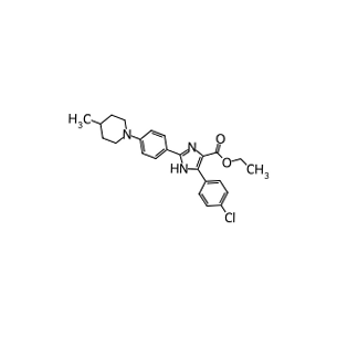 CCOC(=O)c1nc(-c2ccc(N3CCC(C)CC3)cc2)[nH]c1-c1ccc(Cl)cc1